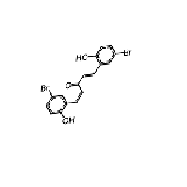 O=C(/C=C\c1cc(Br)ccc1O)/C=C/c1cc(Br)ccc1O